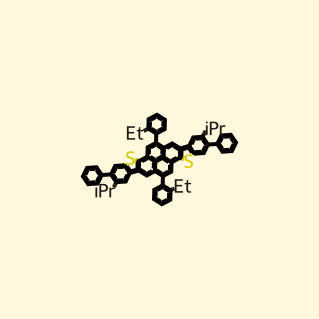 CCc1ccccc1-c1cc2c3sc4cc(-c5ccccc5)c(C(C)C)cc4c3cc3c(-c4ccccc4CC)cc4c5sc6cc(-c7ccccc7)c(C(C)C)cc6c5cc1c4c32